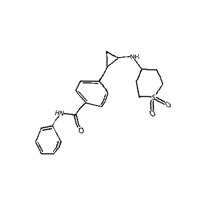 O=C(Nc1ccccc1)c1ccc(C2CC2NC2CCS(=O)(=O)CC2)cc1